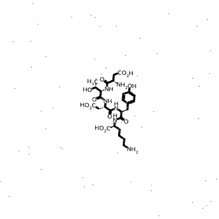 C[C@@H](O)[C@H](NC(=O)[C@@H](N)CC(=O)O)C(=O)N[C@@H](CC(=O)O)C(=O)N[C@@H](Cc1ccc(O)cc1)C(=O)N[C@@H](CCCCN)C(=O)O